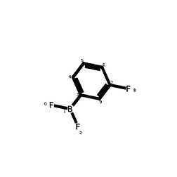 FB(F)c1cccc(F)c1